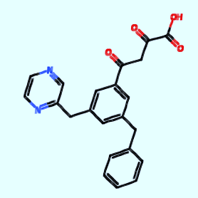 O=C(O)C(=O)CC(=O)c1cc(Cc2ccccc2)cc(Cc2cnccn2)c1